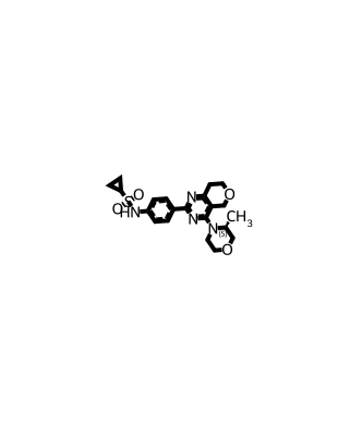 C[C@H]1COCCN1c1nc(-c2ccc(NS(=O)(=O)C3CC3)cc2)nc2c1COCC2